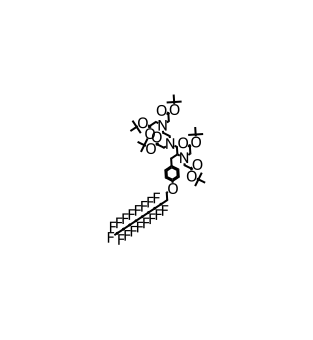 CC(C)(C)OC(=O)CN(CCN(CC(=O)OC(C)(C)C)CC(Cc1ccc(OCCC(F)(F)C(F)(F)C(F)(F)C(F)(F)C(F)(F)C(F)(F)C(F)(F)C(F)(F)F)cc1)N(CC(=O)OC(C)(C)C)CC(=O)OC(C)(C)C)CC(=O)OC(C)(C)C